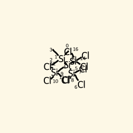 C[Si](C)(C)[Si]([Si](Cl)(Cl)Cl)([Si](Cl)(Cl)Cl)[Si](Cl)(Cl)Cl